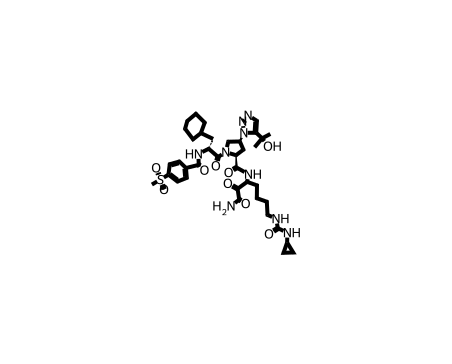 CC(C)(O)c1cnnn1[C@H]1C[C@@H](C(=O)NC(CCCCNC(=O)NC2CC2)C(=O)C(N)=O)N(C(=O)[C@@H](CC2CCCCC2)NC(=O)c2ccc(S(C)(=O)=O)cc2)C1